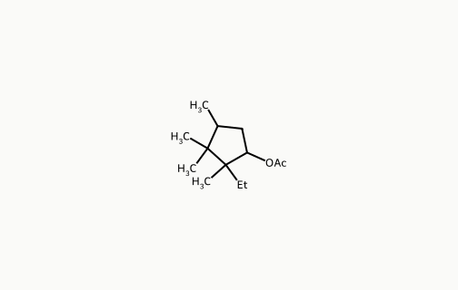 CCC1(C)C(OC(C)=O)CC(C)C1(C)C